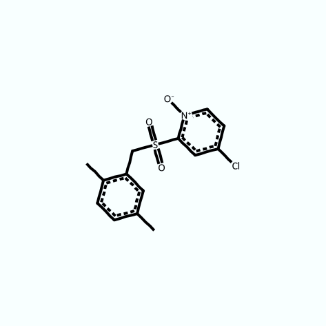 Cc1ccc(C)c(CS(=O)(=O)c2cc(Cl)cc[n+]2[O-])c1